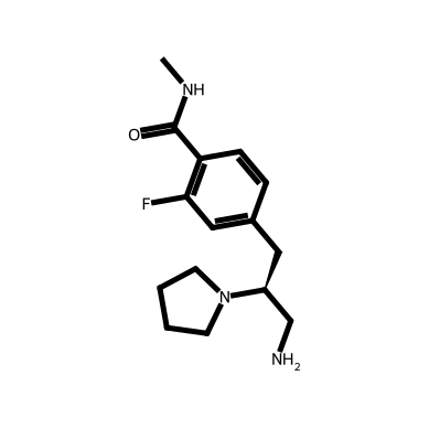 CNC(=O)c1ccc(C[C@@H](CN)N2CCCC2)cc1F